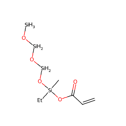 C=CC(=O)O[Si](C)(CC)O[SiH2]O[SiH2]O[SiH3]